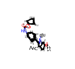 CCOc1ccc2c(C#N)c(-c3ccc(NC(=O)OC4CCCC4)cc3)n(C(C)CC)c2c1